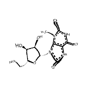 Cn1c(=O)[nH]c(=O)c2[nH]c(=O)n([C@@H]3O[C@H](CO)[C@@H](O)[C@H]3O)c21